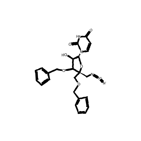 [N-]=[N+]=NC[C@]1(COCc2ccccc2)O[C@@H](n2ccc(=O)[nH]c2=O)C(O)C1OCc1ccccc1